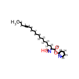 CCCC#CCCCCCCCCCCCC(=NO)C(=O)Oc1ccccn1